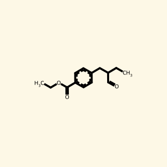 CCOC(=O)c1ccc(CC(C=O)CC)cc1